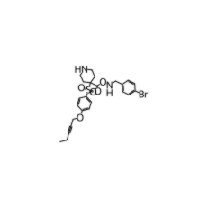 CCC#CCOc1ccc(S(=O)(=O)C2(C(=O)ONCc3ccc(Br)cc3)CCNCC2)cc1